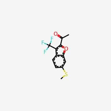 CSc1ccc2c(C(F)(F)F)c(C(C)=O)oc2c1